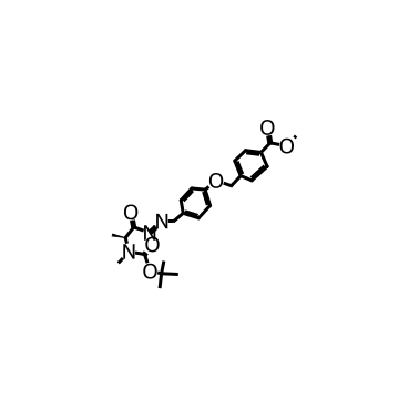 COC(=O)c1ccc(COc2ccc(CN=NC(=O)[C@H](C)N(C)C(=O)OC(C)(C)C)cc2)cc1